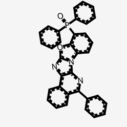 O=P(c1ccccc1)(c1ccccc1)c1cccc2c1oc1nc3c4ccccc4c(-c4ccccc4)nc3n12